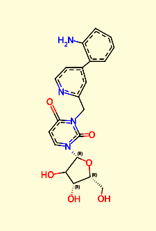 Nc1ccccc1-c1ccnc(Cn2c(=O)ccn([C@@H]3O[C@H](CO)[C@H](O)C3O)c2=O)c1